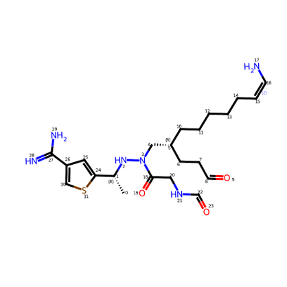 C[C@@H](NN(C[C@@H](CCC=O)CCCCC/C=C\N)C(=O)CNC=O)c1cc(C(=N)N)cs1